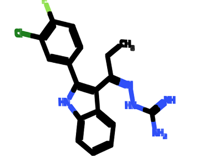 CC/C(=N/NC(=N)N)c1c(-c2ccc(F)c(Cl)c2)[nH]c2ccccc12